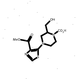 COC(=O)c1ncsc1N1CCN(C(=O)O)C(CO)C1